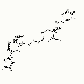 F[C@H]1CN(CCCc2c[nH]c3ccc(-n4cnnc4)cc23)CC[C@H]1NCc1ccccc1